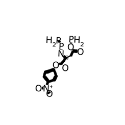 O=C(C[C@H](N=PP)C(=O)Oc1ccc([N+](=O)[O-])cc1)OP